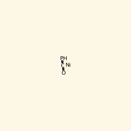 O=C=P.[Ni]